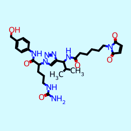 CC(C)C(NC(=O)CCCCCN1C(=O)C=CC1=O)c1cn(C(CCCNC(N)=O)C(=O)Nc2ccc(CO)cc2)nn1